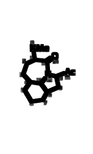 CNC1CCC2CCCC3CC(C(C)=O)N(C1=O)C23